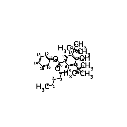 CCCCCCc1c(C(=O)Oc2ccccc2)cc(C(C)(C)C)c(O)c1C(C)(C)C